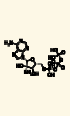 Nc1ncnc2c1ncn2[C@@H]1O[C@H](COP(=O)(O)OP(=O)(O)OP(=O)(O)O)[C@@H](O)[C@@]1(N)O